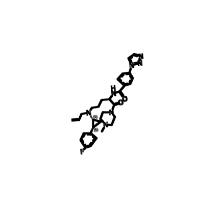 C=CCN(CCCC(NC(=O)c1ccc(-n2ccnn2)cc1)C(=O)N1CCN(C)CC1)[C@@H]1C[C@H]1c1ccc(F)cc1